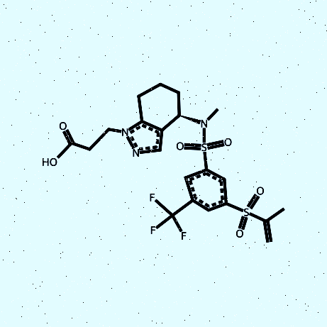 C=C(C)S(=O)(=O)c1cc(C(F)(F)F)cc(S(=O)(=O)N(C)[C@@H]2CCCc3c2cnn3CCC(=O)O)c1